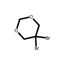 BrC1(Br)CO[CH]OC1